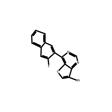 CC(C)c1csc2c(-c3cc4ccccc4cc3F)ncnc12